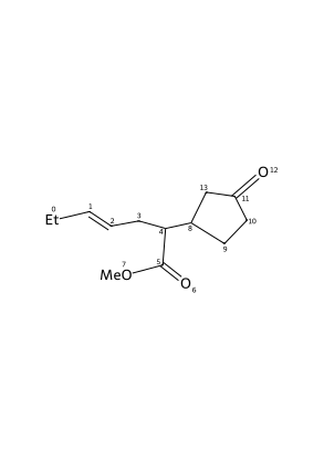 CCC=CCC(C(=O)OC)C1CCC(=O)C1